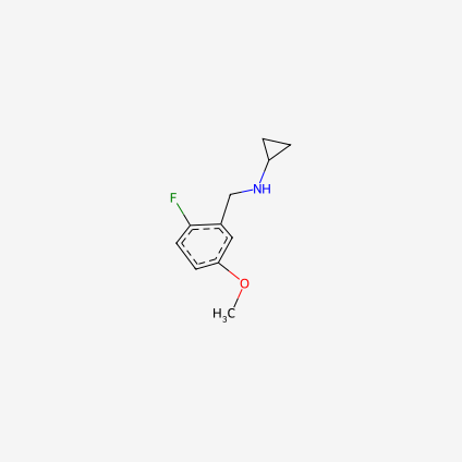 COc1ccc(F)c(CNC2CC2)c1